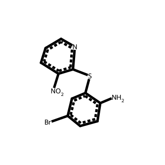 Nc1ccc(Br)cc1Sc1ncccc1[N+](=O)[O-]